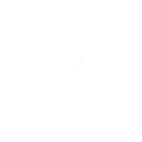 CCC(C)CCN(C)CCCC(C)C